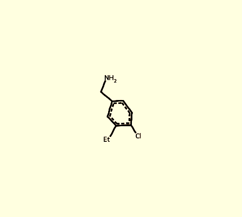 CCc1cc(CN)ccc1Cl